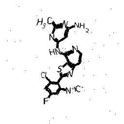 [C-]#[N+]c1cc(F)cc(Cl)c1-c1nc2ccnc(Nc3cc(N)nc(C)n3)c2s1